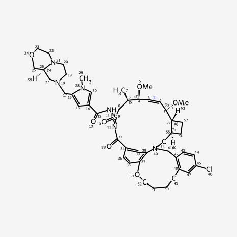 CO[C@H]1/C=C/[C@H](OC)[C@H](C)C[S@@](=O)(NC(=O)c2cc(CN3CCN4CCOC[C@@H]4C3)n(C)c2)=NC(=O)c2ccc3c(c2)N(Cc2ccc(Cl)cc2CCCCO3)C[C@@H]2CC[C@H]21